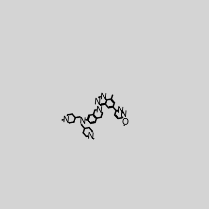 COc1ccc(-c2cc(C)c3ncnc(N4CCc5ccc(N(CC6CCN(C)CC6)CC6CCN(C)CC6)cc5C4)c3c2)nn1